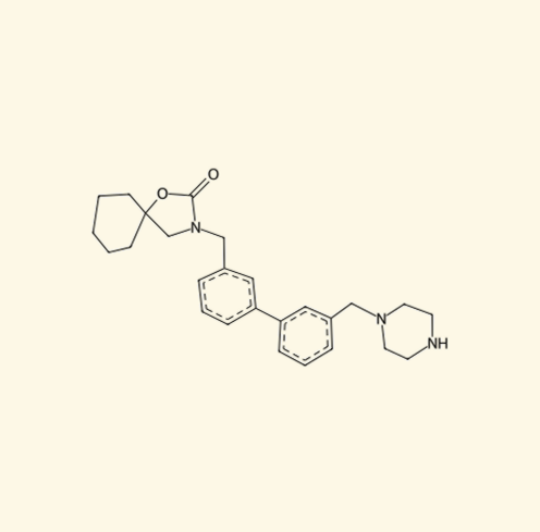 O=C1OC2(CCCCC2)CN1Cc1cccc(-c2cccc(CN3CCNCC3)c2)c1